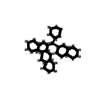 c1ccc(N(c2ccc3ccccc3c2)c2cc3ccccc3c3cc4ccccc4cc23)cc1